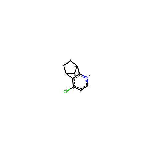 Clc1ccnc2c1C1CCC2C1